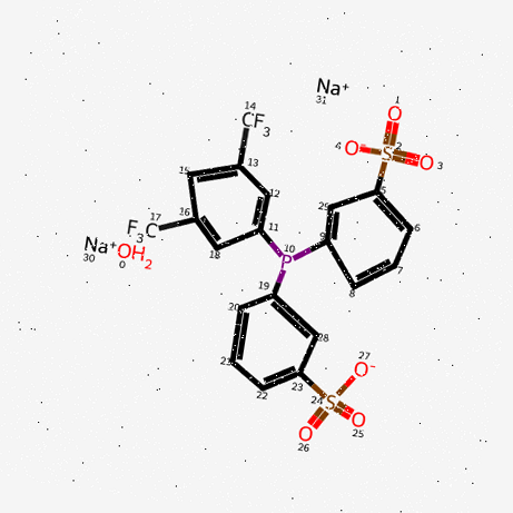 O.O=S(=O)([O-])c1cccc(P(c2cc(C(F)(F)F)cc(C(F)(F)F)c2)c2cccc(S(=O)(=O)[O-])c2)c1.[Na+].[Na+]